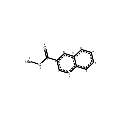 CC(C)(C)OC(=O)c1cnc2ccccc2c1